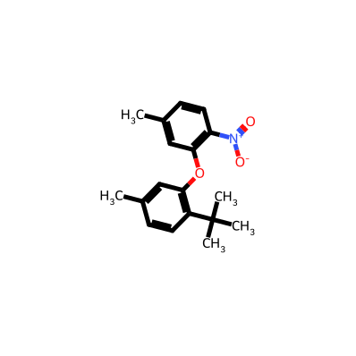 Cc1ccc([N+](=O)[O-])c(Oc2cc(C)ccc2C(C)(C)C)c1